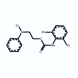 CCN(CCOC(=O)Nc1c(C(C)C)cccc1C(C)C)c1ccccc1